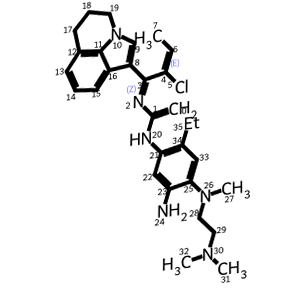 C=C(/N=C(\C(Cl)=C/C)c1cn2c3c(cccc13)CCC2)Nc1cc(N)c(N(C)CCN(C)C)cc1CC